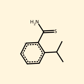 CC(C)c1ccc[c]c1C(N)=S